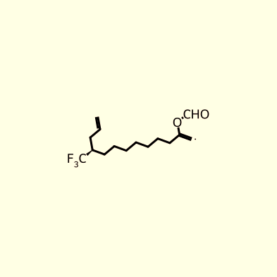 [CH]=C(CCCCCCC[C@H](CC=C)C(F)(F)F)OC=O